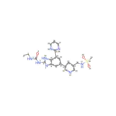 CCNC(=O)Nc1nc2cc(-c3cncc(CNS(C)(=O)=O)c3)cc(-c3ncccn3)c2[nH]1